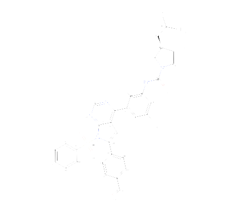 Cc1c(NC(=O)N2C[C@@H](CC(C)C)[C@H](O)C2)cc(F)cc1-c1ncnc2c1cc(-c1ccc(C=O)cc1)n2S(=O)(=O)c1ccccc1